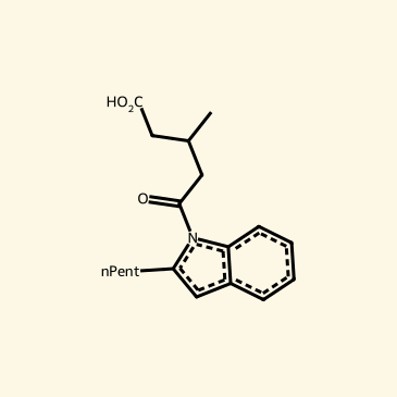 CCCCCc1cc2ccccc2n1C(=O)CC(C)CC(=O)O